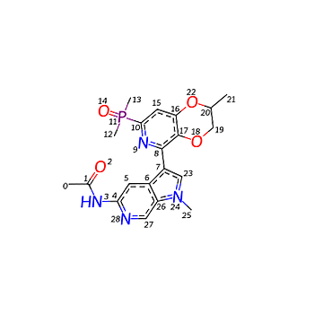 CC(=O)Nc1cc2c(-c3nc(P(C)(C)=O)cc4c3OCC(C)O4)cn(C)c2cn1